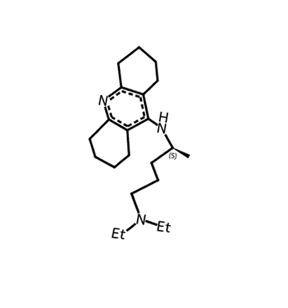 CCN(CC)CCC[C@H](C)Nc1c2c(nc3c1CCCC3)CCCC2